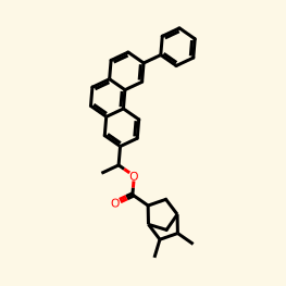 CC(OC(=O)C1CC2CC1C(C)C2C)c1ccc2c(ccc3ccc(-c4ccccc4)cc32)c1